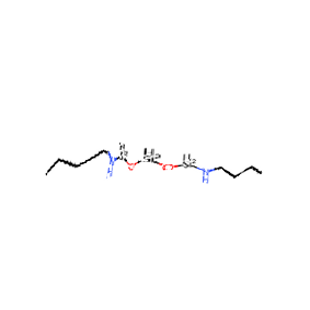 CCCCN[SiH2]O[SiH2]O[SiH2]NCCCC